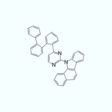 c1ccc(-c2ccccc2-c2ccccc2-c2ccnc(-n3c4ccccc4c4ccc5ccccc5c43)n2)cc1